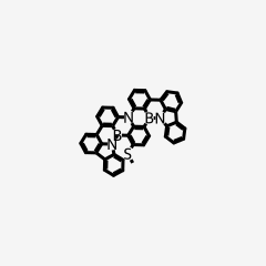 CSc1ccc2c3c1B1c4c(cccc4N3c3cccc4c3B2n2c3ccccc3c3cccc-4c32)-c2cccc3c4ccccc4n1c23